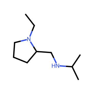 CCN1CCCC1CNC(C)C